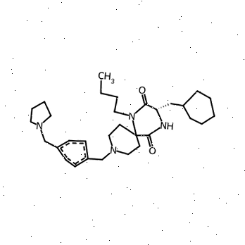 CCCCN1C(=O)[C@H](CC2CCCCC2)NC(=O)C12CCN(Cc1ccc(CN3CCCC3)cc1)CC2